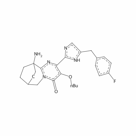 CCCCOc1c(-c2ncc(Cc3ccc(F)cc3)[nH]2)nc2n(c1=O)CC1CCC2(N)CC1